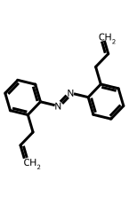 C=CCc1ccccc1/N=N/c1ccccc1CC=C